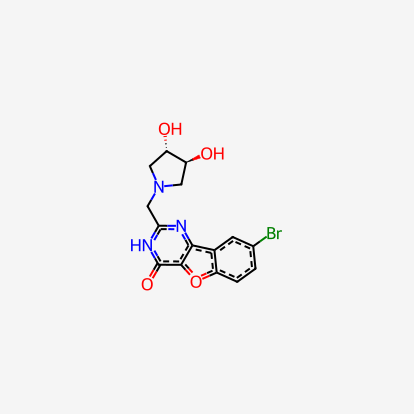 O=c1[nH]c(CN2C[C@H](O)[C@@H](O)C2)nc2c1oc1ccc(Br)cc12